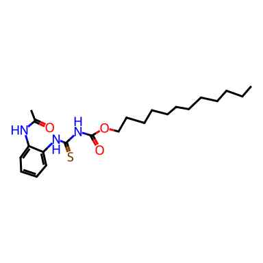 CCCCCCCCCCCCOC(=O)NC(=S)Nc1ccccc1NC(C)=O